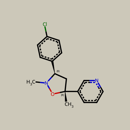 CN1O[C@@](C)(c2cccnc2)C[C@@H]1c1ccc(Cl)cc1